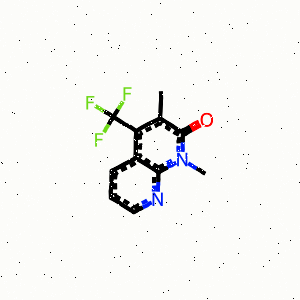 Cc1c(C(F)(F)F)c2cccnc2n(C)c1=O